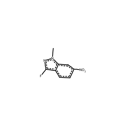 Cn1nc(F)c2ccc([N+](=O)[O-])cc21